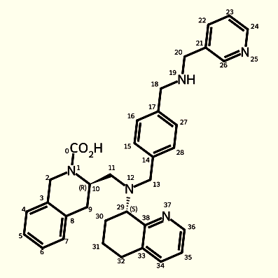 O=C(O)N1Cc2ccccc2C[C@@H]1CN(Cc1ccc(CNCc2cccnc2)cc1)[C@H]1CCCc2cccnc21